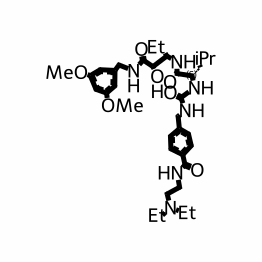 CCC(NC(=O)[C@H](CC(C)C)NC(=O)NCc1ccc(C(=O)NCCN(CC)CC)cc1)C(O)C(=O)NCc1cc(OC)cc(OC)c1